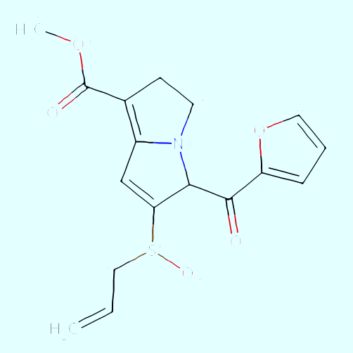 C=CC[S+]([O-])C1=CC2=C(C(=O)OC)CCN2C1C(=O)c1ccco1